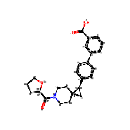 O=C(O)c1cccc(-c2ccc([C@H]3CC34CCN(C(=O)[C@H]3CCCO3)CC4)cc2)c1